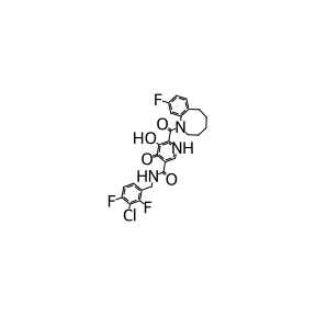 O=C(NCc1ccc(F)c(Cl)c1F)c1c[nH]c(C(=O)N2CCCCCc3ccc(F)cc32)c(O)c1=O